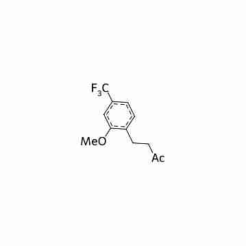 COc1cc(C(F)(F)F)ccc1CCC(C)=O